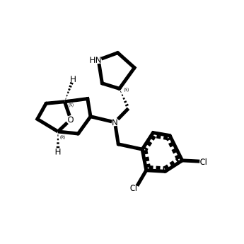 Clc1ccc(CN(C[C@H]2CCNC2)C2C[C@H]3CC[C@@H](C2)O3)c(Cl)c1